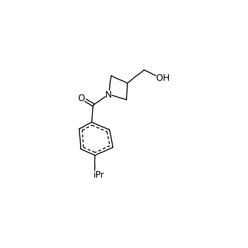 CC(C)c1ccc(C(=O)N2CC(CO)C2)cc1